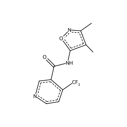 Cc1noc(NC(=O)c2cnccc2C(F)(F)F)c1C